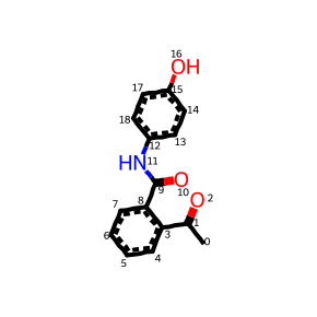 CC(=O)c1ccccc1C(=O)Nc1ccc(O)cc1